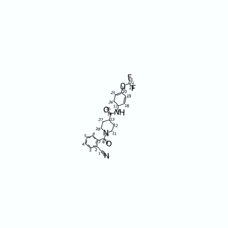 N#Cc1ccccc1C(=O)N1CCC(C(=O)NC2C=CC(OC(F)F)=CC2)CC1